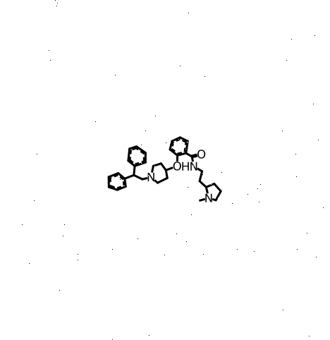 CN1CCCC1CCNC(=O)c1ccccc1OC1CCN(CC(c2ccccc2)c2ccccc2)CC1